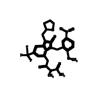 COc1ccc([N+](=O)[O-])cc1Cn1c(=O)n(CC2CCCO2)c2cc(C(F)(F)F)cc(CC(=O)N(C)C(N)=O)c21